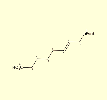 CCCCCCC=CCCCCC(=O)O